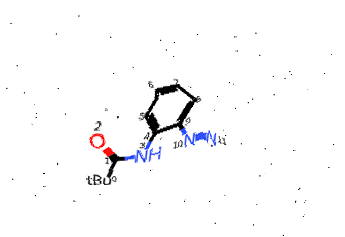 CC(C)(C)C(=O)Nc1ccccc1N=[N]